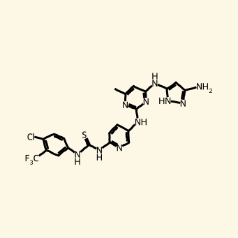 Cc1cc(Nc2cc(N)n[nH]2)nc(Nc2ccc(NC(=S)Nc3ccc(Cl)c(C(F)(F)F)c3)nc2)n1